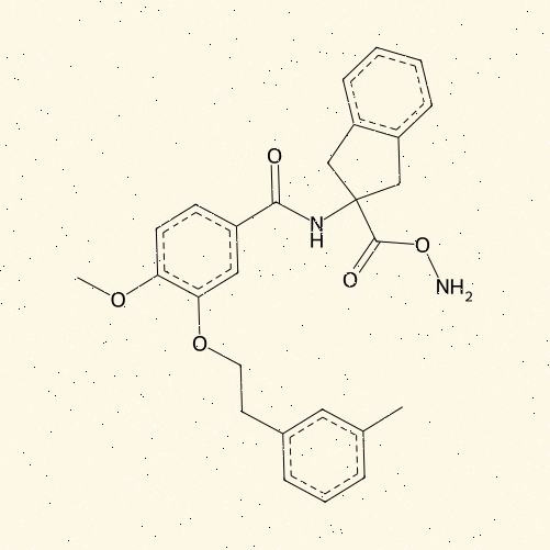 COc1ccc(C(=O)NC2(C(=O)ON)Cc3ccccc3C2)cc1OCCc1cccc(C)c1